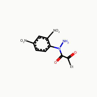 CCC(=O)C(=O)N(N)c1ccc([N+](=O)[O-])cc1[N+](=O)[O-]